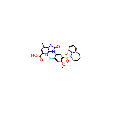 COc1cc(F)c(-n2c(=O)[nH]c3c(C)cc(C(=O)O)nc32)cc1S(=O)(=O)N1CCCCc2ccccc21